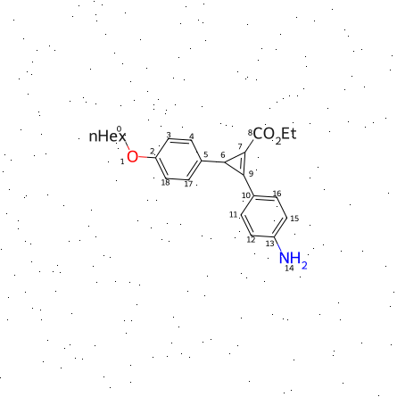 CCCCCCOc1ccc(C2C(C(=O)OCC)=C2c2ccc(N)cc2)cc1